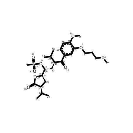 COCCCOc1cc(C(=O)[C@@H](C[C@@H](OS(C)(=O)=O)[C@H]2C[C@@H](C(C)C)C(=O)O2)C(C)C)ccc1OC